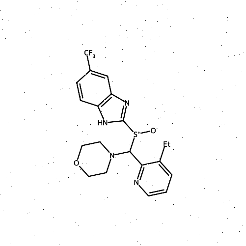 CCc1cccnc1C(N1CCOCC1)[S+]([O-])c1nc2cc(C(F)(F)F)ccc2[nH]1